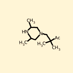 CC(=O)C(C)(C)CN1CC(C)NC(C)C1